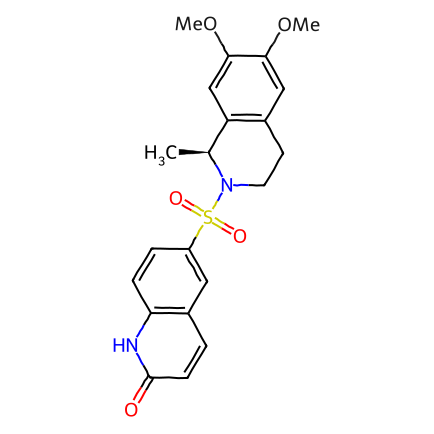 COc1cc2c(cc1OC)[C@H](C)N(S(=O)(=O)c1ccc3[nH]c(=O)ccc3c1)CC2